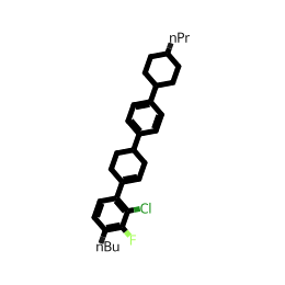 CCCCc1ccc(C2=CCC(c3ccc(C4CCC(CCC)CC4)cc3)CC2)c(Cl)c1F